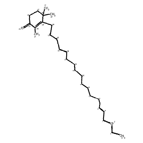 CCOCCCCCCCCCCCCCCCCC1=C(C)C(=O)CCC1(C)C